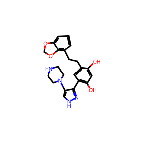 Oc1cc(O)c(-c2n[nH]cc2N2CCNCC2)cc1CCc1cccc2c1OCO2